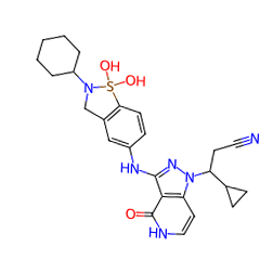 N#CCC(C1CC1)n1nc(Nc2ccc3c(c2)CN(C2CCCCC2)S3(O)O)c2c(=O)[nH]ccc21